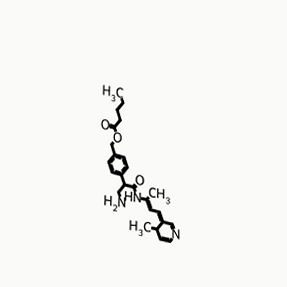 CCCCC(=O)OCc1ccc(C(CN)C(=O)N/C(C)=C/C=C2/C=NC=CC2C)cc1